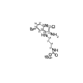 CC(C)(C)OC(=O)NCCCCNc1c(N)c(Cl)nc2ccc(Br)cc12